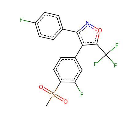 CS(=O)(=O)c1ccc(-c2c(-c3ccc(F)cc3)noc2C(F)(F)F)cc1F